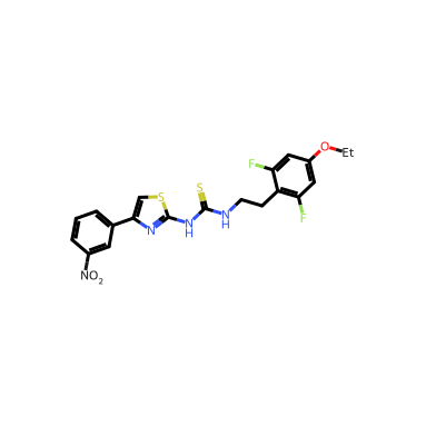 CCOc1cc(F)c(CCNC(=S)Nc2nc(-c3cccc([N+](=O)[O-])c3)cs2)c(F)c1